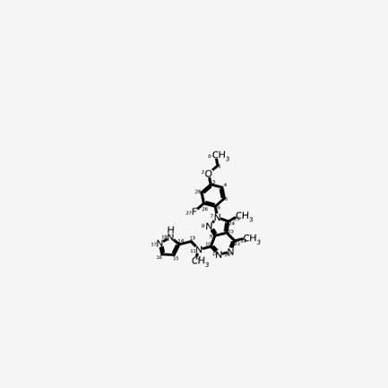 CCOc1ccc(-n2nc3c(N(C)Cc4ccn[nH]4)nnc(C)c3c2C)c(F)c1